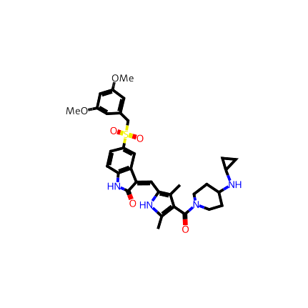 COc1cc(CS(=O)(=O)c2ccc3c(c2)/C(=C/c2[nH]c(C)c(C(=O)N4CCC(NC5CC5)CC4)c2C)C(=O)N3)cc(OC)c1